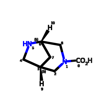 O=C(O)N1C[C@@H]2CN[C@@H](C2)C1